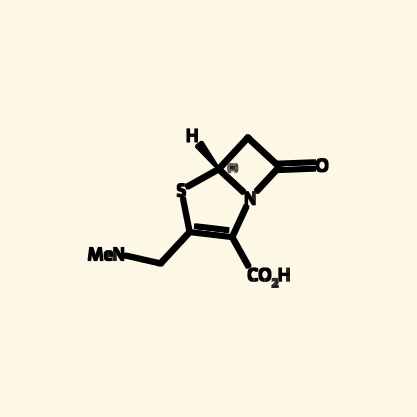 CNCC1=C(C(=O)O)N2C(=O)C[C@H]2S1